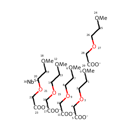 COCCOCC(=O)[O-].COCCOCC(=O)[O-].COCCOCC(=O)[O-].COCCOCC(=O)[O-].COCCOCC(=O)[O-].[Nb+5]